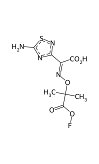 CC(C)(O/N=C(\C(=O)O)c1nsc(N)n1)C(=O)OF